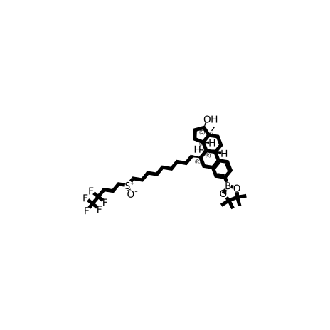 CC1(C)OB(c2ccc3c(c2)C[C@@H](CCCCCCCCC[S+]([O-])CCCC(F)(F)C(F)(F)F)[C@@H]2[C@@H]3CC[C@]3(C)[C@@H](O)CC[C@@H]23)OC1(C)C